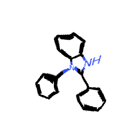 c1ccc(-c2[nH]c3ccccc3[n+]2-c2ccccc2)cc1